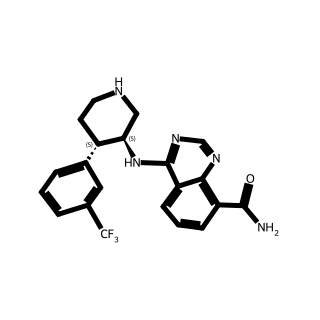 NC(=O)c1cccc2c(N[C@@H]3CNCC[C@H]3c3cccc(C(F)(F)F)c3)ncnc12